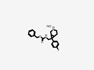 Cl.O=C(NCC1(c2ccc(F)cc2)C2CCNCC21)OCc1ccccc1